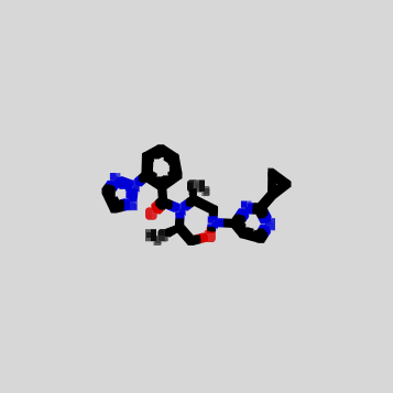 C[C@@H]1CON(c2ccnc(C3CC3)n2)C[C@H](C)N1C(=O)c1ccccc1-n1nccn1